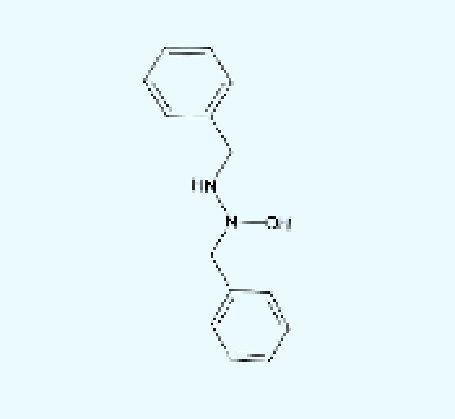 ON(Cc1ccccc1)NCc1ccccc1